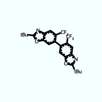 CC(C)(C)c1nc2cc(C(F)(F)F)c(-c3cc4oc(C(C)(C)C)nc4cc3C(F)(F)F)cc2o1